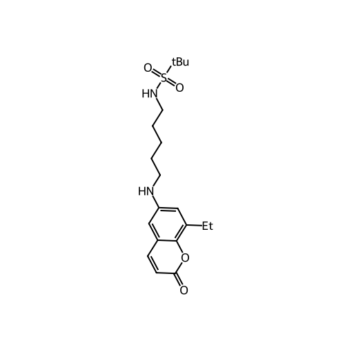 CCc1cc(NCCCCCNS(=O)(=O)C(C)(C)C)cc2ccc(=O)oc12